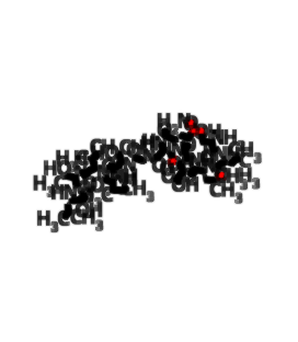 CC[C@H](C)[C@H](NC(=O)[C@@H](NC(=O)CNC(=O)[C@H](CC(=O)O)NC(=O)[C@H](CCC(=O)O)NC(=O)[C@H](CCC(=O)O)NC(=O)[C@H](CC(C)C)NC(=O)[C@H](CC(C)C)NC(=O)[C@@H](N)CCCCN)[C@@H](C)O)C(=O)N[C@H](C(=O)N[C@H](C(=O)N[C@@H](CC(C)C)C(=O)O)[C@@H](C)O)[C@@H](C)CC